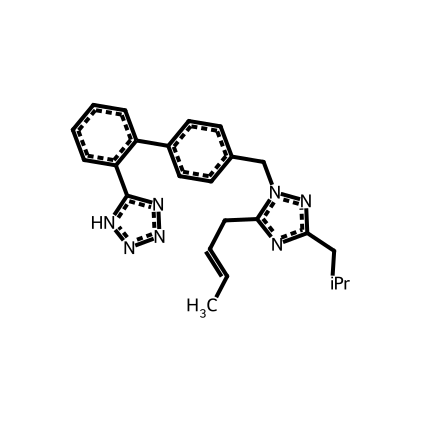 C/C=C/Cc1nc(CC(C)C)nn1Cc1ccc(-c2ccccc2-c2nnn[nH]2)cc1